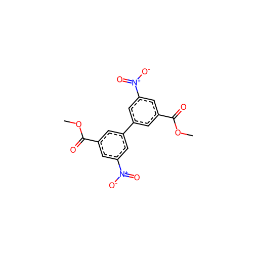 COC(=O)c1cc(-c2cc(C(=O)OC)cc([N+](=O)[O-])c2)cc([N+](=O)[O-])c1